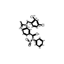 Cc1nc2ccc(C(=O)N(c3ccccc3)[SH](=O)=O)cc2n1Cc1ccc(Cl)cc1Cl